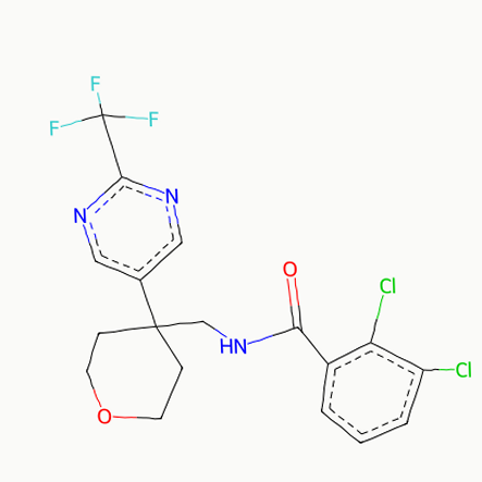 O=C(NCC1(c2cnc(C(F)(F)F)nc2)CCOCC1)c1cccc(Cl)c1Cl